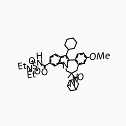 CCN(CC)S(=O)(=O)NC(=O)c1ccc2c(C3CCCCC3)c3n(c2c1)CC(C)(C(=O)N1C2CC1CN(C)C2)Cc1cc(OC)ccc1-3